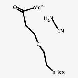 CCCCCCCCCCC[C](=O)[Mg+2].N#CN